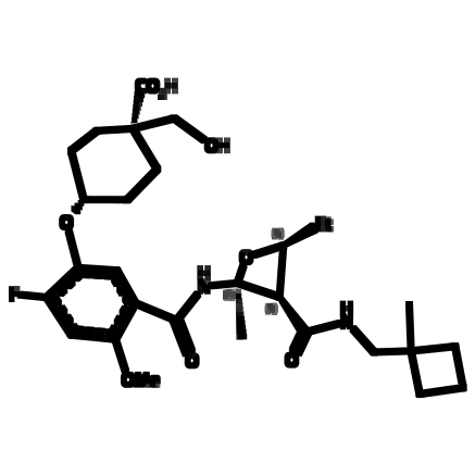 CC[C@@H]1O[C@](C)(NC(=O)c2cc(O[C@H]3CC[C@@](CO)(C(=O)O)CC3)c(F)cc2OC)[C@@H]1C(=O)NCC1(C)CCC1